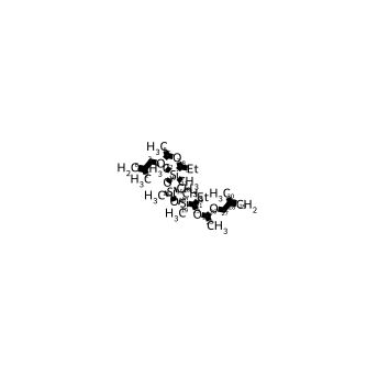 C=C(C)COC(C)OC(CC)[Si](C)(C)O[Si](C)(C)O[Si](C)(C)C(CC)OC(C)OCC(=C)C